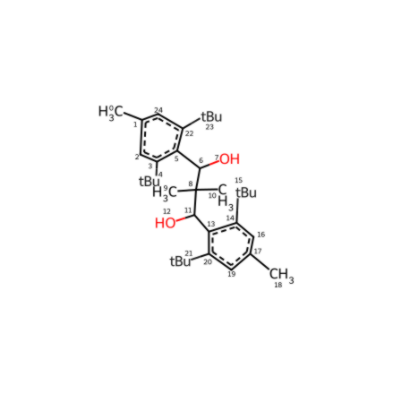 Cc1cc(C(C)(C)C)c(C(O)C(C)(C)C(O)c2c(C(C)(C)C)cc(C)cc2C(C)(C)C)c(C(C)(C)C)c1